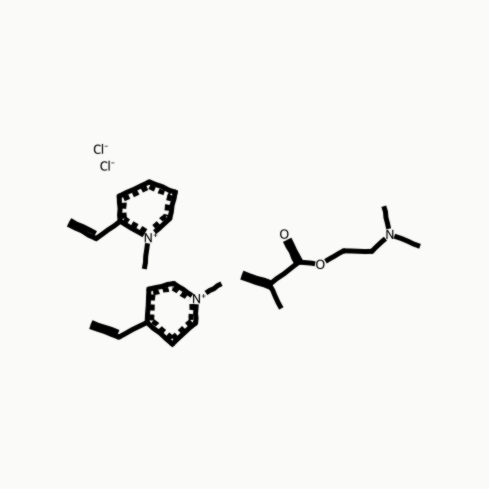 C=C(C)C(=O)OCCN(C)C.C=Cc1cc[n+](C)cc1.C=Cc1cccc[n+]1C.[Cl-].[Cl-]